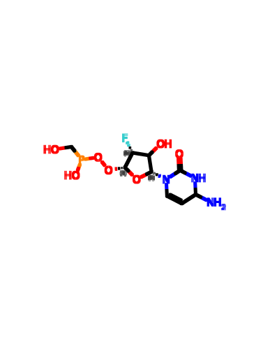 NC1C=CN([C@@H]2O[C@H](OOP(O)CO)[C@H](F)C2O)C(=O)N1